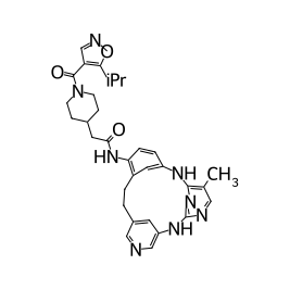 Cc1cnc2nc1Nc1ccc(NC(=O)CC3CCN(C(=O)c4cnoc4C(C)C)CC3)c(c1)CCc1cncc(c1)N2